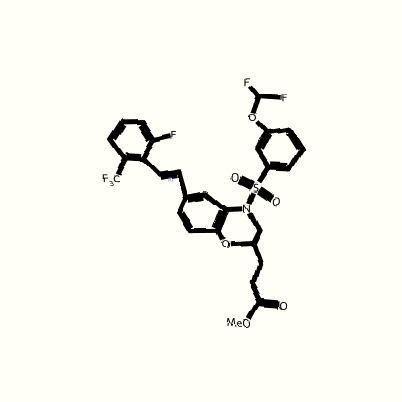 COC(=O)CCC1CN(S(=O)(=O)c2cccc(OC(F)F)c2)c2cc(/C=C/c3c(F)cccc3C(F)(F)F)ccc2O1